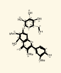 COc1cc(-c2oc3cc(O[C@H]4O[C@@H](CO)[C@H](O)[C@@H](O)[C@@H]4O)c(OC)c(O)c3c(=O)c2OC)ccc1O